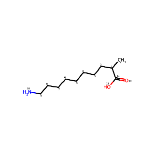 CC(CCCCCCCCN)C(=O)O